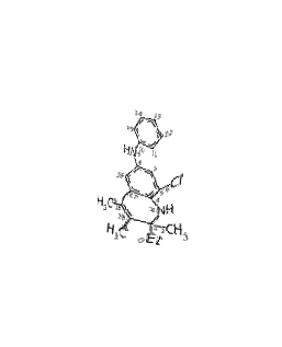 CCC1(C)Nc2c(Cl)cc(Nc3ccccc3)cc2C(C)=C1C